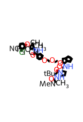 CN[C@@H](C)C(=O)N[C@H](C(=O)N1CCC[C@H]1C(=O)N[C@H]1c2ccccc2C[C@H]1OCCOCCOc1ccc(C(=O)NC2C(C)(C)C(Oc3ccc(C#N)c(Cl)c3)C2(C)C)cc1)C(C)(C)C